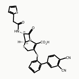 N#Cc1ccc(-c2ccccc2SC2=C(C(=O)O)N3C(=O)[C@@H](NC(=O)Cc4cccs4)[C@@H]3SC2)cc1C#N